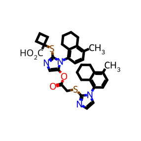 Cc1ccc(-n2ccnc2SCC(=O)Oc2cnc(SC3(C(=O)O)CCC3)n2-c2ccc(C)c3c2CCCC3)c2c1CCCC2